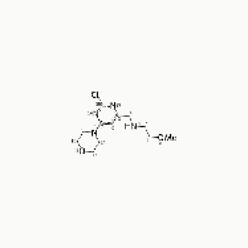 COCCNCc1cc(N2CCOCC2)nc(Cl)n1